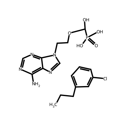 CCCc1cccc(Cl)c1.Nc1ncnc2c1ncn2CCOC(O)P(=O)(O)O